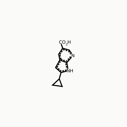 O=C(O)c1cnc2[nH]c(C3CC3)cc2c1